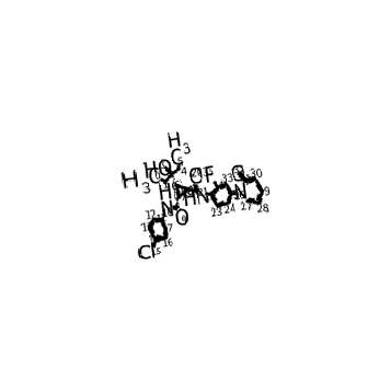 CCC(O)(CC)[C@H]1[C@H](C(=O)Nc2ccc(Cl)cc2)[C@@H]1C(=O)Nc1ccc(-n2ccccc2=O)cc1F